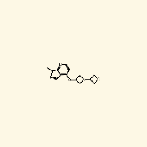 Cn1ncc2c(OC3CN(C4COC4)C3)ccnc21